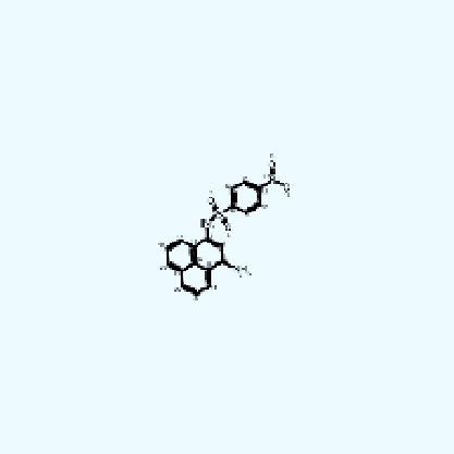 NC1C=C(NS(=O)(=O)c2ccc([N+](=O)[O-])cc2)c2cccc3cccc1c23